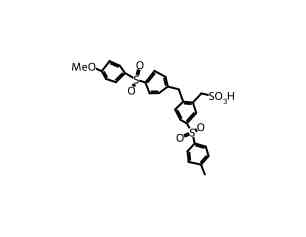 COc1ccc(S(=O)(=O)c2ccc(Cc3ccc(S(=O)(=O)c4ccc(C)cc4)cc3CS(=O)(=O)O)cc2)cc1